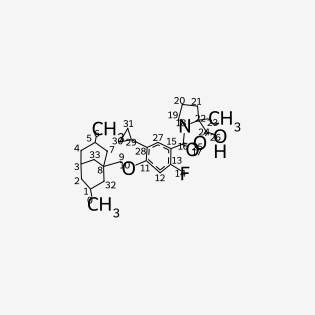 CC1CC2CC(C)CC(COc3cc(F)c(C(=O)N4CCCC4(C)C(=O)O)cc3C3CC3)(C1)C2